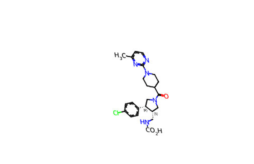 Cc1ccnc(N2CCC(C(=O)N3C[C@H](CNC(=O)O)[C@H](c4ccc(Cl)cc4)C3)CC2)n1